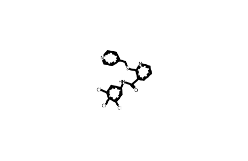 O=C(Nc1cc(Cl)c(Cl)c(Cl)c1)c1cccnc1SCc1ccncc1